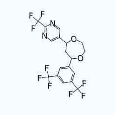 FC(F)(F)c1cc(C2CC(c3cnc(C(F)(F)F)nc3)OCCO2)cc(C(F)(F)F)c1